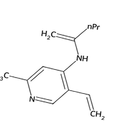 C=Cc1cnc(C)cc1NC(=C)CCC